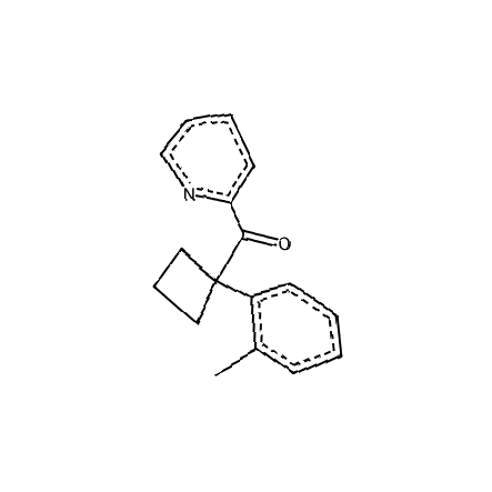 Cc1ccccc1C1(C(=O)c2ccccn2)CCC1